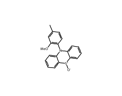 COc1cc(C)ccc1N1c2ccccc2[S+]([O-])c2ccccc21